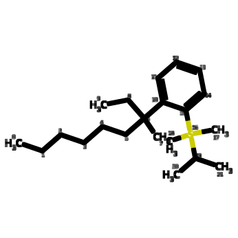 CCCCCCC(C)(CC)c1ccccc1S(C)(C)C(C)C